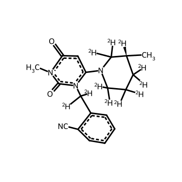 [2H]C([2H])(c1ccccc1C#N)n1c(N2C([2H])([2H])C([2H])([2H])C([2H])([2H])[C@@]([2H])(C)C2([2H])[2H])cc(=O)n(C)c1=O